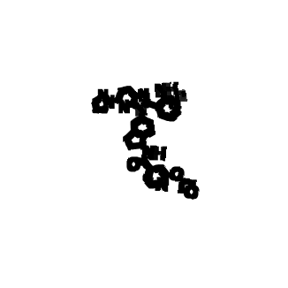 Nc1ncccc1-c1nc2ccc(-n3cccn3)nc2n1-c1ccc2c(c1)CC[C@@H]2NC(=O)c1ccnc(OC2COC2)c1